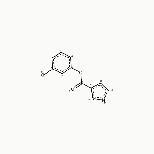 O=C(Oc1cccc(Cl)c1)c1csnn1